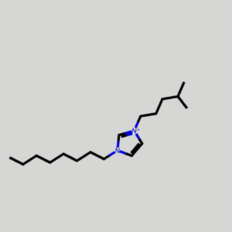 CCCCCCCCn1cc[n+](CCCC(C)C)c1